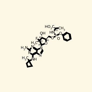 C[C@H](NP(=O)(OC[C@H]1O[C@@H](n2cnc3c(NC4(C)CCC4)nc(N)nc32)[C@](C)(F)[C@@H]1O)Oc1ccccc1)C(=O)O